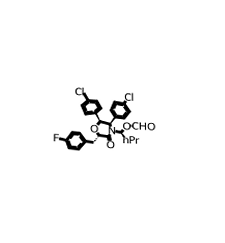 CCC[C@H](OC=O)N1C(=O)[C@H](Cc2ccc(F)cc2)O[C@@H](c2ccc(Cl)cc2)[C@H]1c1ccc(Cl)cc1